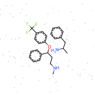 CC(N)Cc1ccccc1.CNCCC(Oc1ccc(C(F)(F)F)cc1)c1ccccc1